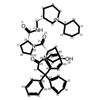 O=C(NC[C@@H]1CCCN(C2CCCCC2)C1)[C@H]1CCCN1C(=O)[C@@H]1C[C@@H](O)CN1C(=O)CC(c1ccccc1)(c1ccccc1)c1ccccc1